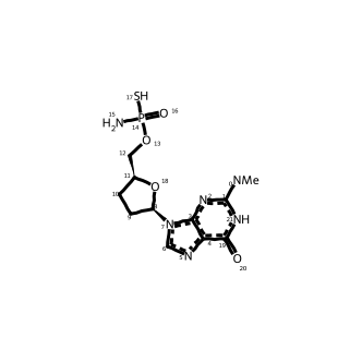 CNc1nc2c(ncn2[C@H]2CC[C@@H](COP(N)(=O)S)O2)c(=O)[nH]1